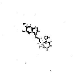 Cc1cc2c(cc1F)ncn2CCC[C@H]1NCCC[C@@H]1O